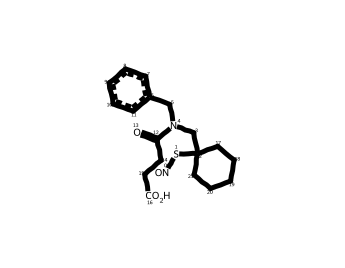 O=NSC1(CN(Cc2ccccc2)C(=O)CCC(=O)O)CCCCC1